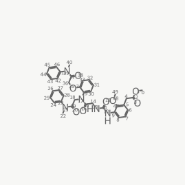 COC(=O)Cc1cccc(NC(=O)NCC(=O)N(CC(=O)N(C)c2ccccc2)c2ccccc2OCC(=O)N(C)c2ccccc2)c1OC